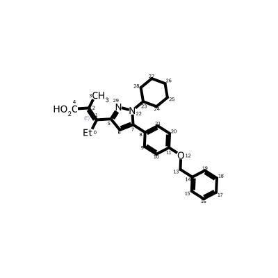 CC/C(=C(/C)C(=O)O)c1cc(-c2ccc(OCc3ccccc3)cc2)n(C2CCCCC2)n1